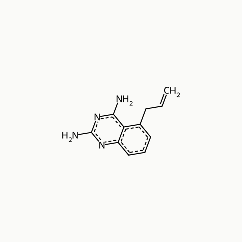 C=CCc1cccc2nc(N)nc(N)c12